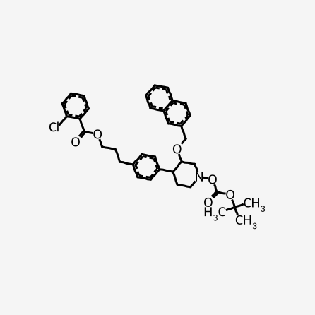 CC(C)(C)OC(=O)ON1CCC(c2ccc(CCCOC(=O)c3ccccc3Cl)cc2)C(OCc2ccc3ccccc3c2)C1